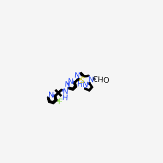 CC(C)(CNc1ccc(-c2ncc(CN(C=O)[C@H]3CCCN3)s2)nn1)c1ncccc1F